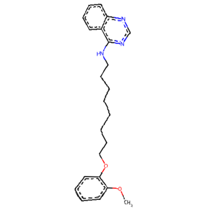 COc1ccccc1OCCCCCCCCNc1ncnc2ccccc12